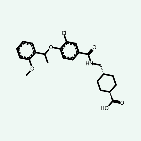 COc1ccccc1C(C)Oc1ccc(C(=O)NC[C@H]2CC[C@H](C(=O)O)CC2)cc1Cl